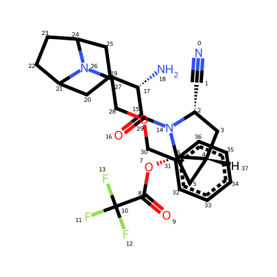 N#C[C@@H]1C[C@@H]2C[C@@]2(OC(=O)C(F)(F)F)N1C(=O)[C@@H](N)C1CC2CCC(C1)N2CCOCc1ccccc1